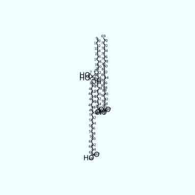 CCC(CO)(CO)CO.CCCCCCCCCCCCCCCCCCCCCCCCCCCC(=O)O.CCCCCCCCCCCCCCCCCCCCCCCCCCCC(=O)O.CCCCCCCCCCCCCCCCCCCCCCCCCCCC(=O)O